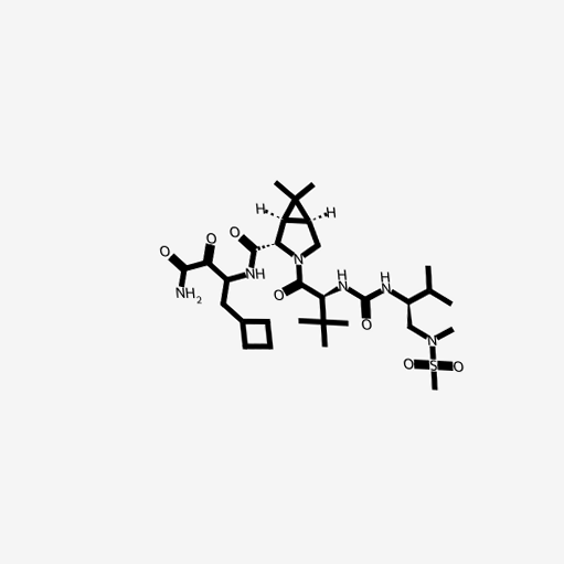 CC(C)[C@@H](CN(C)S(C)(=O)=O)NC(=O)N[C@H](C(=O)N1C[C@H]2[C@@H]([C@H]1C(=O)NC(CC1CCC1)C(=O)C(N)=O)C2(C)C)C(C)(C)C